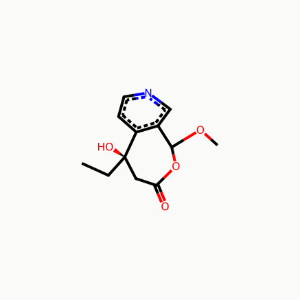 CC[C@@]1(O)CC(=O)OC(OC)c2cnccc21